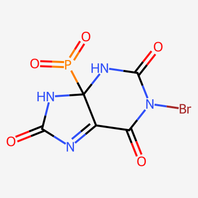 O=C1N=C2C(=O)N(Br)C(=O)NC2(P(=O)=O)N1